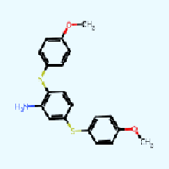 COc1ccc(Sc2ccc(Sc3ccc(OC)cc3)c(N)c2)cc1